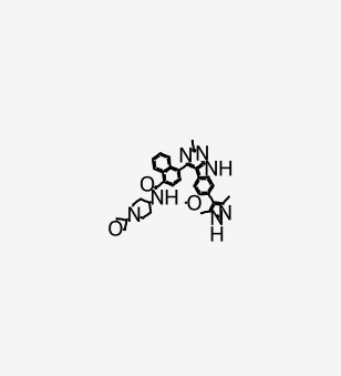 COc1cc2c(cc1-c1c(C)n[nH]c1C)[nH]c1nc(C)nc(-c3ccc(C(=O)NC4CCN(C5COC5)CC4)c4ccccc34)c12